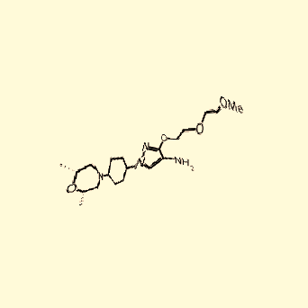 COCCOCCOc1nn(C2CCC(N3C[C@@H](C)O[C@@H](C)C3)CC2)cc1N